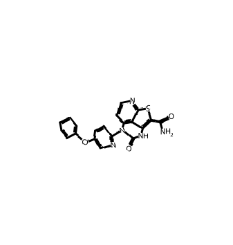 NC(=O)c1sc2nccc3c2c1NC(=O)N3c1ccc(Oc2ccccc2)cn1